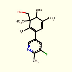 CCCCC1C(C(=O)O)=CC(c2cnc(C)c(F)c2)=C(C)C1(CO)C(=O)O